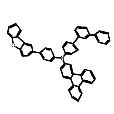 c1ccc(-c2cccc(-c3ccc(N(c4ccc(-c5ccc6oc7ccccc7c6c5)cc4)c4ccc5c6ccccc6c6ccccc6c5c4)cc3)c2)cc1